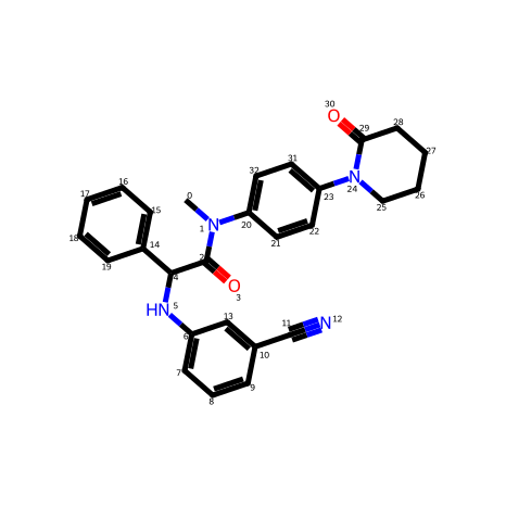 CN(C(=O)C(Nc1cccc(C#N)c1)c1ccccc1)c1ccc(N2CCCCC2=O)cc1